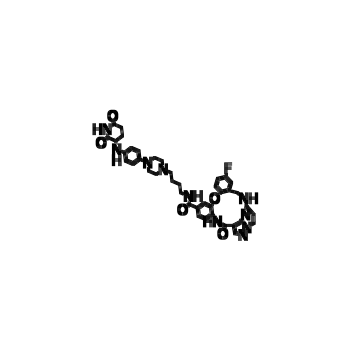 O=C1CCC(Nc2ccc(N3CCN(CCCCNC(=O)c4ccc5c(c4)Oc4ccc(F)cc4CNc4ccn6ncc(c6n4)C(=O)N5)CC3)cc2)C(=O)N1